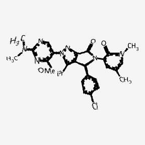 COc1nc(N(C)C)ncc1-n1nc2c(c1C(C)C)C(c1ccc(Cl)cc1)N(c1cc(C)cn(C)c1=O)C2=O